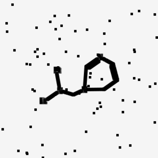 CCN(CC)CN1C=NC=CC1